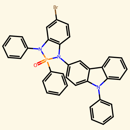 O=P1(c2ccccc2)N(c2ccc3c(c2)c2ccccc2n3-c2ccccc2)c2ccc(Br)cc2N1c1ccccc1